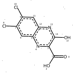 O=C(O)c1nc2cc(Cl)c(Cl)cc2nc1O